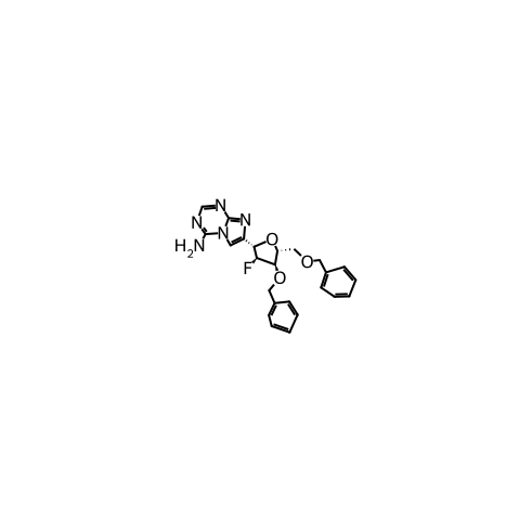 Nc1ncnc2nc([C@@H]3O[C@H](COCc4ccccc4)[C@@H](OCc4ccccc4)[C@H]3F)cn12